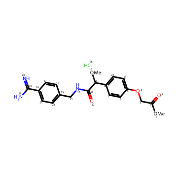 COC(=O)COc1ccc(C(OC)C(=O)NCc2ccc(C(=N)N)cc2)cc1.Cl